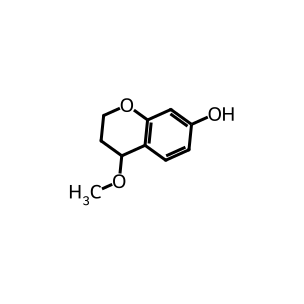 COC1CCOc2cc(O)ccc21